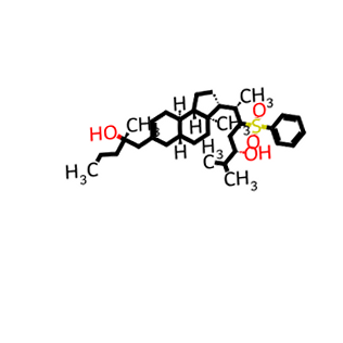 CCC[C@](C)(O)CC1=CC[C@@H]2[C@H](CC[C@]3(C)[C@@H]([C@H](C)C(C[C@H](O)C(C)C)S(=O)(=O)c4ccccc4)CC[C@@H]23)C1